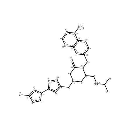 CC(C)NC[C@H]1CN(Cc2cc(-c3ccc(Cl)s3)on2)CC(=O)N1Cc1ccc2c(N)ncnc2c1